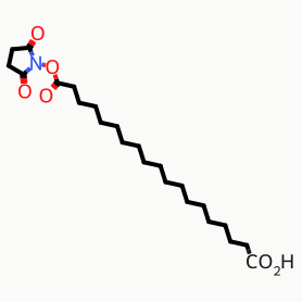 O=C(O)CCCCCCCCCCCCCCCCCC(=O)ON1C(=O)CCC1=O